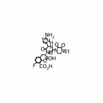 CCN1CCN(C(=O)NC(C(=O)N[C@H]2Cc3ccc(F)c(C(=O)O)c3OB2O)c2csc(N)n2)C(=O)C1=O